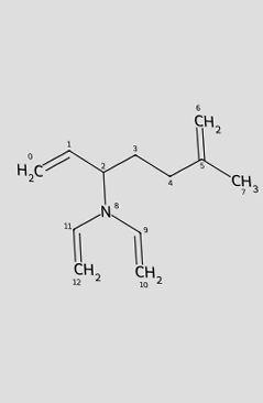 C=CC(CCC(=C)C)N(C=C)C=C